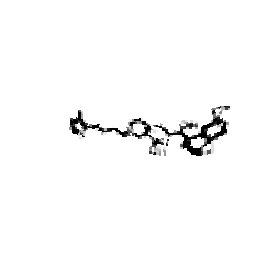 COc1ccc2nccc([C@H](O)CC[C@@H]3CCN(CCCCc4sccc4C)C[C@@H]3C(=O)O)c2c1